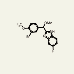 COC(c1ccc(OC(F)(F)F)c(Br)c1)c1nc2cc(F)ccc2[nH]1